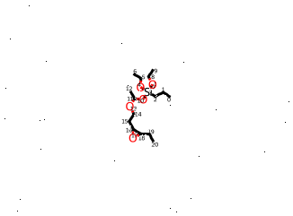 CCC[Si](OCC)(OCC)OC(C)OCCC1OC1CC